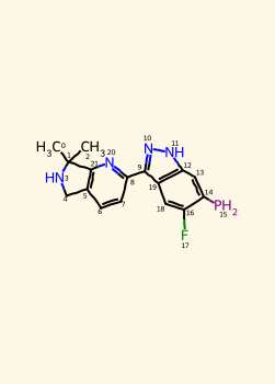 CC1(C)NCc2ccc(-c3n[nH]c4cc(P)c(F)cc34)nc21